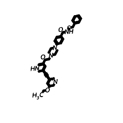 CCOC1C=C(C#CC2=CC(C(=O)CN3CCN(c4ccc(C(=O)NSCc5ccccc5)cc4)CC3)=CNC2)C=NC1